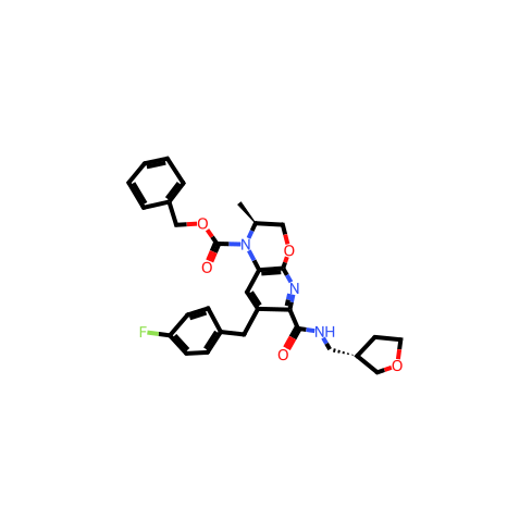 C[C@H]1COc2nc(C(=O)NC[C@@H]3CCOC3)c(Cc3ccc(F)cc3)cc2N1C(=O)OCc1ccccc1